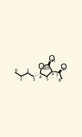 CCCC[C@H]1C[C@H](C(C)=O)C(=O)O1